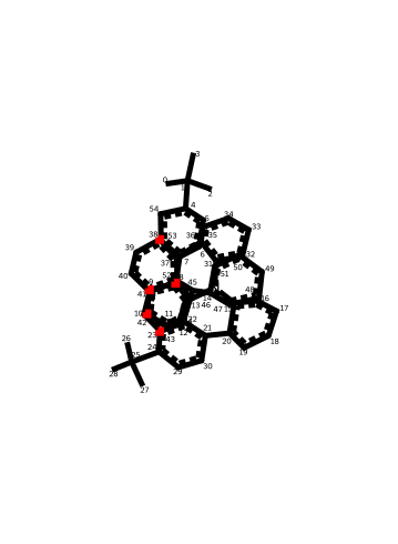 CC(C)(C)c1ccc(-c2ccccc2N(c2ccccc2-c2ccc(C(C)(C)C)cc2)c2ccccc2-c2cccc3cccc(-c4ccccc4)c23)cc1